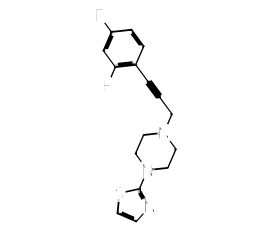 Fc1ccc(C#CCN2CCN(c3nccs3)CC2)c(F)c1